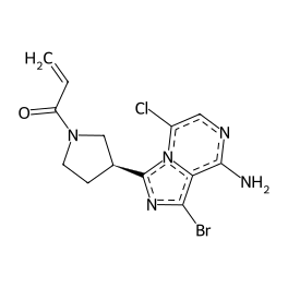 C=CC(=O)N1CC[C@H](c2nc(Br)c3c(N)ncc(Cl)n23)C1